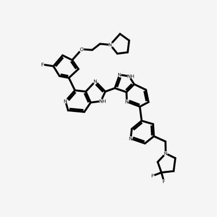 Fc1cc(OCCN2CCCC2)cc(-c2nccc3[nH]c(-c4n[nH]c5ccc(-c6cncc(CN7CCC(F)(F)C7)c6)nc45)nc23)c1